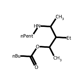 CCCCCNC(C)C(CC)C(C)OC(=O)CCCC